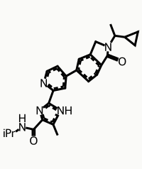 Cc1[nH]c(-c2cc(-c3ccc4c(c3)CN(C(C)C3CC3)C4=O)ccn2)nc1C(=O)NC(C)C